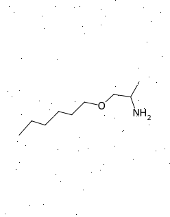 CCCCCCOCC(C)N